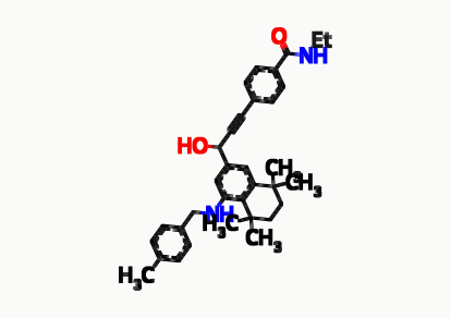 CCNC(=O)c1ccc(C#CC(O)c2cc(NCc3ccc(C)cc3)c3c(c2)C(C)(C)CCC3(C)C)cc1